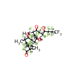 CC(F)(C(=O)C(F)(F)C(C)(F)C(=O)C(F)(F)C(F)(F)C(F)(F)F)C(F)(F)C(=O)C(C)(F)C(F)(F)C(=O)C(C)(F)C(F)(F)C(F)(F)C(C)(F)C(=O)F